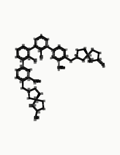 COc1nc(-c2cccc(-c3cccc(-c4ccc(CN5CC[C@]6(CCC(O)N6)C5)c(OC)n4)c3Cl)c2Cl)ccc1CN1CC[C@]2(CCC(=O)N2)C1